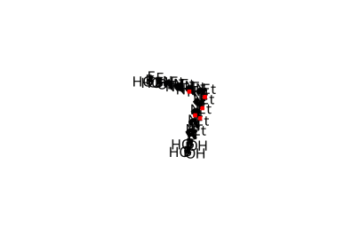 CCc1nccn1C.CCc1nccn1C.CCc1nccn1C.CCc1nccn1C.CCc1nccn1C.CCc1nccn1C.CCc1nccn1C.CCc1nccn1C.OB(O)F.OB(O)F.OB(O)F.OB(O)F